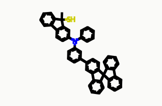 CC1(S)c2ccccc2-c2ccc(N(c3ccccc3)c3cccc(-c4ccc5c(c4)-c4ccccc4C54c5ccccc5-c5ccccc54)c3)cc21